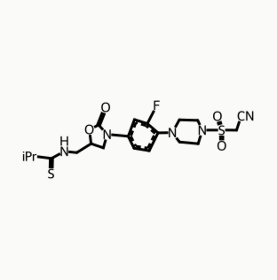 CC(C)C(=S)NCC1CN(c2ccc(N3CCN(S(=O)(=O)CC#N)CC3)c(F)c2)C(=O)O1